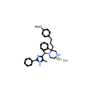 COc1ccc(CCCC2(c3ccccc3)CNCCN2C(C)c2nc(-c3ccccc3)[nH]c2C)cc1.Cl.Cl.Cl